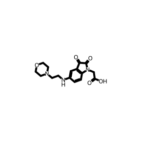 O=C(O)CN1C(=O)C(=O)c2cc(NCCN3CCOCC3)ccc21